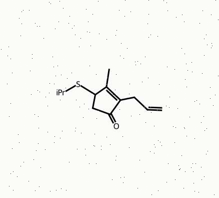 C=CCC1=C(C)C(SC(C)C)CC1=O